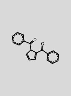 O=C(C1=CC=CC1C(=O)c1ccccc1)c1ccccc1